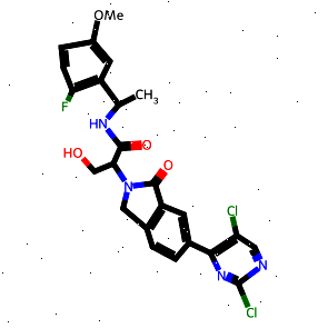 COc1ccc(F)c(C(C)NC(=O)C(CO)N2Cc3ccc(-c4nc(Cl)ncc4Cl)cc3C2=O)c1